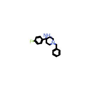 NC1(c2ccc(F)cc2)CCN(Cc2ccccc2)CC1